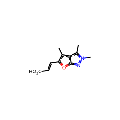 Cc1c(C=CC(=O)O)oc2nn(C)c(C)c12